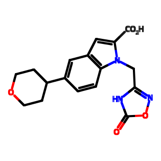 O=C(O)c1cc2cc(C3CCOCC3)ccc2n1Cc1noc(=O)[nH]1